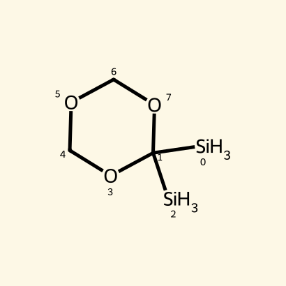 [SiH3]C1([SiH3])OCOCO1